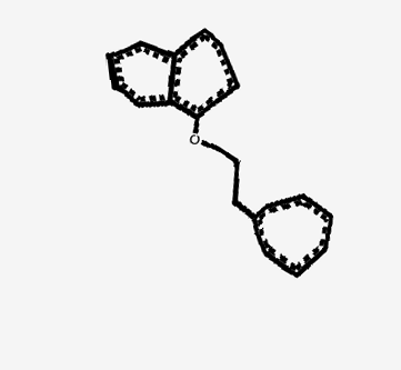 [CH](Cc1ccccc1)Oc1cccc2ccccc12